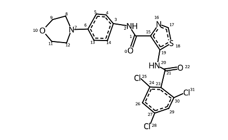 O=C(Nc1ccc(N2CCOCC2)cc1)c1ncsc1NC(=O)c1c(Cl)cc(Cl)cc1Cl